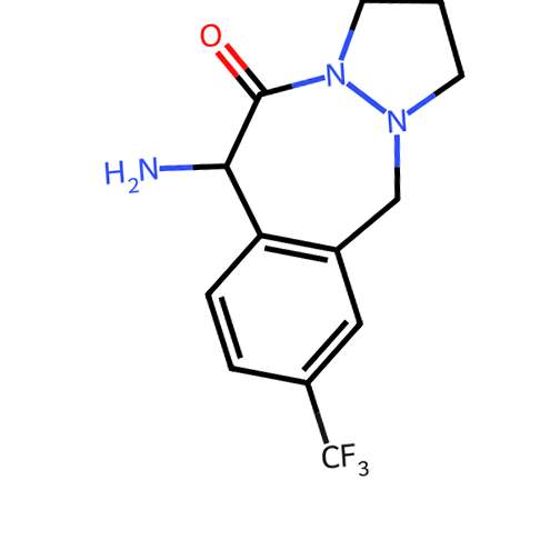 NC1C(=O)N2CCCN2Cc2cc(C(F)(F)F)ccc21